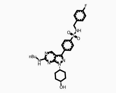 CCCCNc1ncc2c(-c3ccc(S(=O)(=O)NCc4ccc(F)cc4)cc3)nn([C@H]3CC[C@H](O)CC3)c2n1